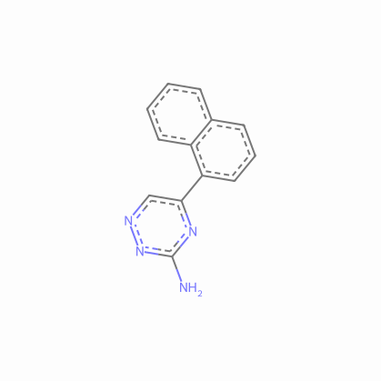 Nc1nncc(-c2cccc3ccccc23)n1